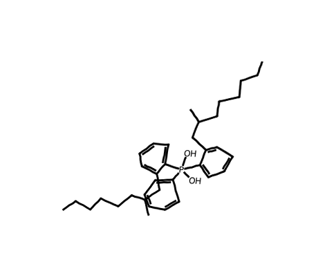 CCCCCCC(C)Cc1ccccc1P(O)(O)(c1ccccc1)c1ccccc1CC(C)CCCCCC